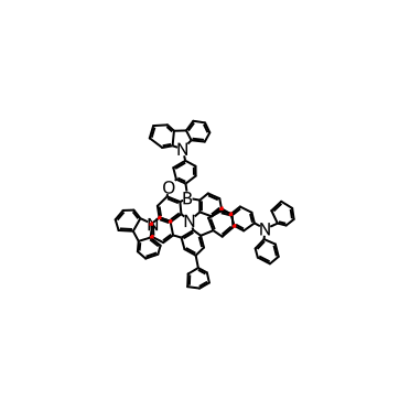 c1ccc(-c2cc(-c3ccccc3)c(N3c4cc(-c5ccc(N(c6ccccc6)c6ccccc6)cc5)ccc4B4c5ccc(-n6c7ccccc7c7ccccc76)cc5Oc5cc(-n6c7ccccc7c7ccccc76)cc3c54)c(-c3ccccc3)c2)cc1